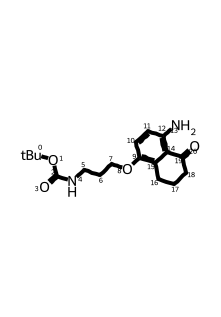 CC(C)(C)OC(=O)NCCCOc1ccc(N)c2c1CCCC2=O